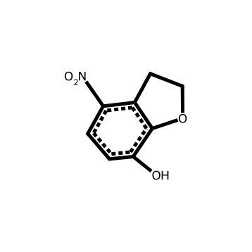 O=[N+]([O-])c1ccc(O)c2c1CCO2